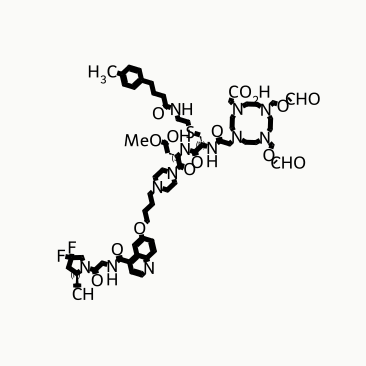 C#C[C@H]1CC(F)(F)CN1C(=O)CNC(=O)c1ccnc2ccc(OCCCCN3CCN(C(=O)[C@H](CC(=O)OC)NC(=O)[C@H](CSCCNC(=O)CCCc4ccc(C)cc4)NC(=O)CN4CCN(COC=O)CCN(COC=O)CCN(CC(=O)O)CC4)CC3)cc12